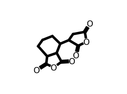 O=C1CC(C2CCCC3C(=O)OC(=O)C32)C(=O)O1